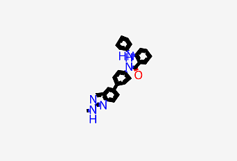 CNc1ncc2cc(-c3ccc(NC(=O)c4ccccc4Nc4ccccc4)cc3)ccc2n1